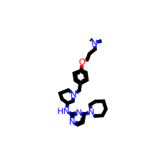 CN(C)CCCOc1ccc(CN2CCCC(Nc3nccc(N4CCCCCC4)n3)C2)cc1